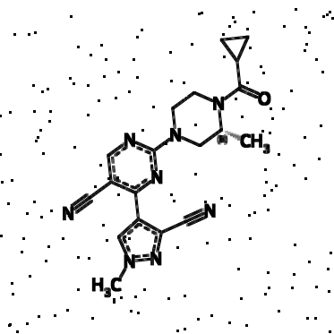 C[C@@H]1CN(c2ncc(C#N)c(-c3cn(C)nc3C#N)n2)CCN1C(=O)C1CC1